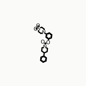 O=C(Oc1cccc(N2CCS(=O)(=O)CC2)c1)N1CCC(c2ccccc2)CC1